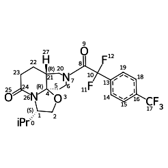 CC(C)[C@H]1CO[C@]23CCN(C(=O)C(F)(F)c4ccc(C(F)(F)F)cc4)C[C@H]2CCC(=O)N13